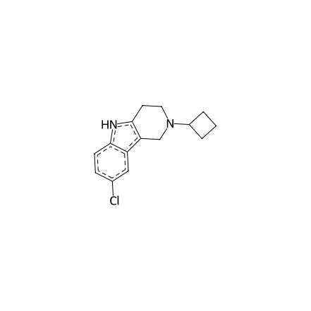 Clc1ccc2[nH]c3c(c2c1)CN(C1CCC1)CC3